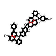 CC(C)c1ccc(-c2ccccc2N(c2cccc(-c3ccccc3)c2)c2ccc3cc4c(cc3c2)oc2cc3cc(N(c5ccc(C(C)C)cc5)c5ccccc5-c5ccccc5)ccc3cc24)cc1